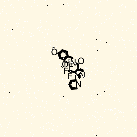 COc1ccc(CNC(=O)c2cnn(-c3ccccn3)c2C(F)(F)F)c(OC)c1